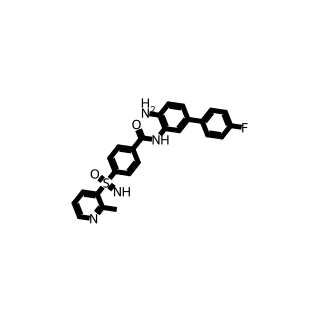 Cc1ncccc1S(=N)(=O)c1ccc(C(=O)Nc2cc(-c3ccc(F)cc3)ccc2N)cc1